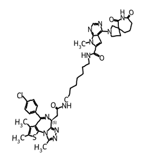 Cc1sc2c(c1C)C(c1ccc(Cl)cc1)=N[C@@H](CC(=O)NCCCCCCCCNC(=O)c1cc3c(N4CCC5(CCCC(=O)NC5=O)C4)ncnc3n1C)c1nnc(C)n1-2